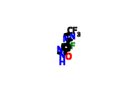 O=c1[nH]cnc2cc(-c3cnc(C(F)(F)F)cn3)c(F)cc12